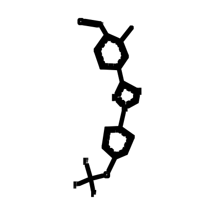 Cc1cc(-c2ncn(-c3ccc(OC(F)(F)F)cc3)n2)ccc1[C]=O